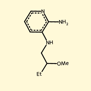 CCC(CNc1cccnc1N)OC